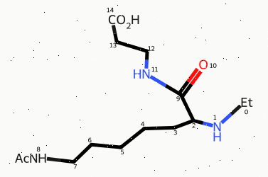 CCNC(CCCCCNC(C)=O)C(=O)NCCC(=O)O